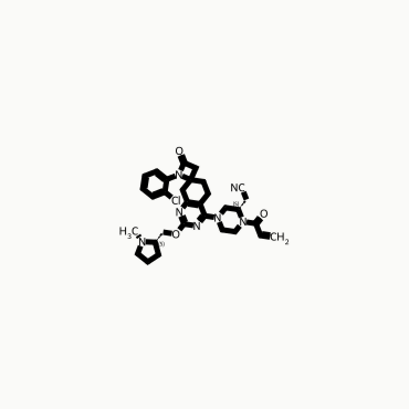 C=CC(=O)N1CCN(c2nc(OC[C@@H]3CCCN3C)nc3c2CCC2(CC(=O)N2c2ccccc2Cl)C3)C[C@@H]1CC#N